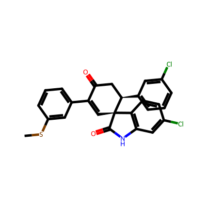 CSc1cccc(C2=C[C@@]3(C(=O)Nc4cc(Cl)ccc43)[C@H](c3cccc(Cl)c3)CC2=O)c1